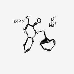 CCOC(=O)c1nc2ccccc2n(Cc2ccccc2)c1=O.[H-].[Na+]